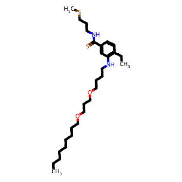 CCCCCCCCCOCCCOCCCCNc1cc(C(=S)NCCCSC)ccc1CC